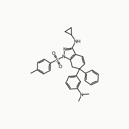 Cc1ccc(S(=O)(=O)n2nc(NC3CC3)c3c2CC(c2ccccc2)(c2cccc(N(C)C)c2)C=C3)cc1